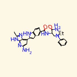 CCN(CC(NC(=O)c1ccc2[nH]c(-c3cc(N)nc4[nH]c(C)nc34)cc2c1)C(N)=O)c1ccccc1